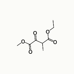 CCOC(=O)C(C)C(=O)C(=O)OC